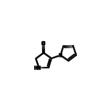 O=C1CNC=C1n1cccc1